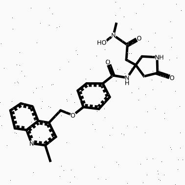 Cc1cc(COc2ccc(C(=O)NC3(CC(=O)N(C)O)CNC(=O)C3)cc2)c2ccccc2n1